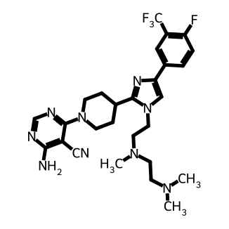 CN(C)CCN(C)CCn1cc(-c2ccc(F)c(C(F)(F)F)c2)nc1C1CCN(c2ncnc(N)c2C#N)CC1